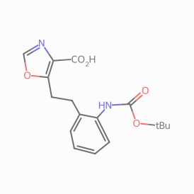 CC(C)(C)OC(=O)Nc1ccccc1CCc1ocnc1C(=O)O